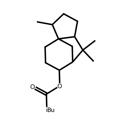 CCC(C)C(=O)OC1CCC23CC1C(C)(C)C2CCC3C